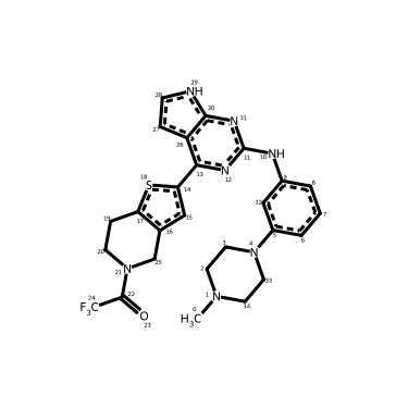 CN1CCN(c2cccc(Nc3nc(-c4cc5c(s4)CCN(C(=O)C(F)(F)F)C5)c4cc[nH]c4n3)c2)CC1